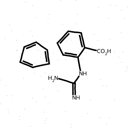 N=C(N)Nc1ccccc1C(=O)O.c1ccccc1